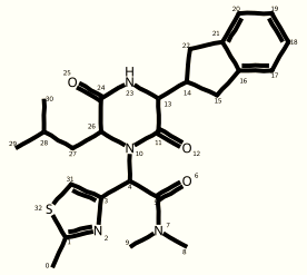 Cc1nc(C(C(=O)N(C)C)N2C(=O)C(C3Cc4ccccc4C3)NC(=O)C2CC(C)C)cs1